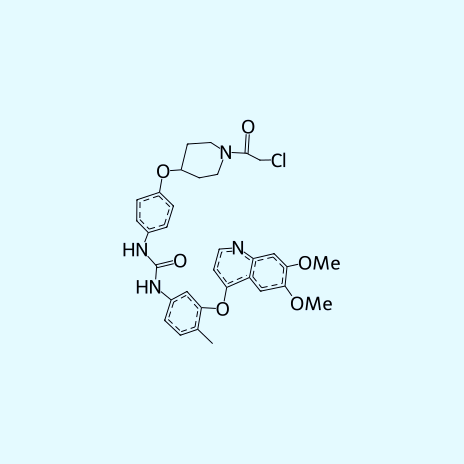 COc1cc2nccc(Oc3cc(NC(=O)Nc4ccc(OC5CCN(C(=O)CCl)CC5)cc4)ccc3C)c2cc1OC